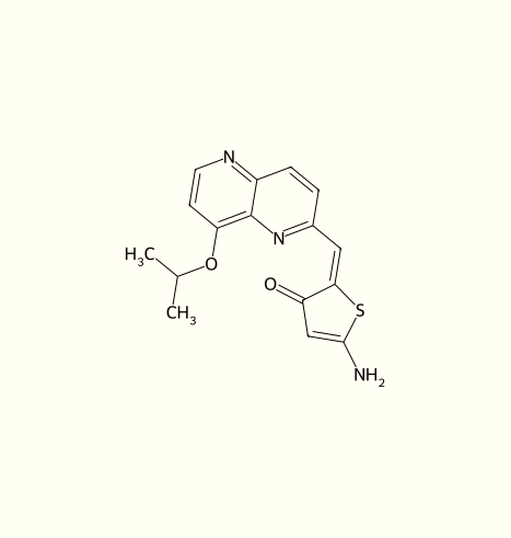 CC(C)Oc1ccnc2ccc(C=C3SC(N)=CC3=O)nc12